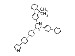 CC1(C)c2ccccc2-c2ccc(-c3cc(-c4ccc(-c5ccc(-c6cccnc6)cc5)cc4)nc(-c4ccc(-c5ccccc5)cc4)n3)cc21